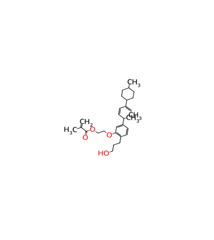 C=C(C)C(=O)OCCOc1cc(C(C)/C=C\C(=C/C)C2CCC(C)CC2)ccc1CCCO